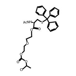 CC(=O)N[C@@H](CSC(c1ccccc1)(c1ccccc1)c1ccccc1)C(=O)OCCOCCOC(=O)OC(C)Cl